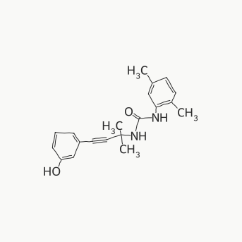 Cc1ccc(C)c(NC(=O)NC(C)(C)C#Cc2cccc(O)c2)c1